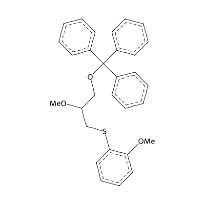 COc1ccccc1SCC(COC(c1ccccc1)(c1ccccc1)c1ccccc1)OC